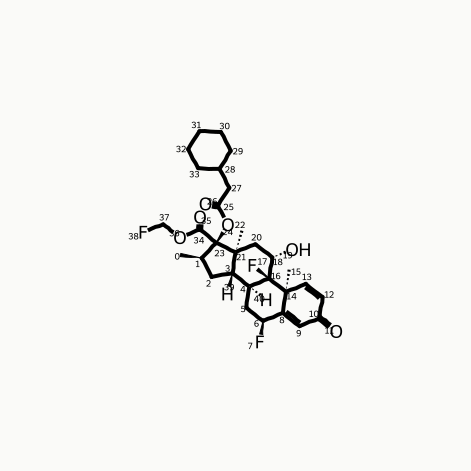 C[C@@H]1C[C@H]2[C@@H]3C[C@H](F)C4=CC(=O)C=C[C@]4(C)[C@@]3(F)[C@@H](O)C[C@]2(C)[C@@]1(OC(=O)CC1CCCCC1)C(=O)OCF